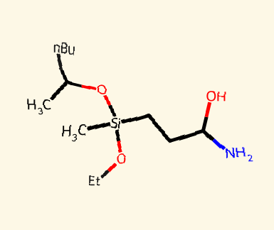 CCCCC(C)O[Si](C)(CCC(N)O)OCC